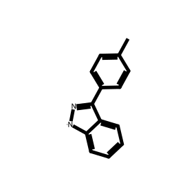 Cc1ccc(C2=N[N]c3ccccc32)cc1